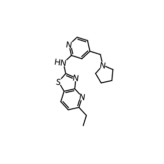 CCc1ccc2sc(Nc3cc(CN4CCCC4)ccn3)nc2n1